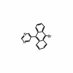 Brc1c2ccccc2c(-c2cncnc2)c2ccccc12